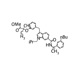 CCCCc1cccc([C@H](C)NC(=O)c2ccc3c(Cc4cccc(OC(C)(C)C(=O)OC)c4)cn(CC(C)C)c3c2)c1